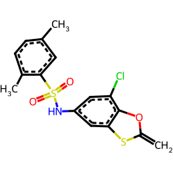 C=C1Oc2c(Cl)cc(NS(=O)(=O)c3cc(C)ccc3C)cc2S1